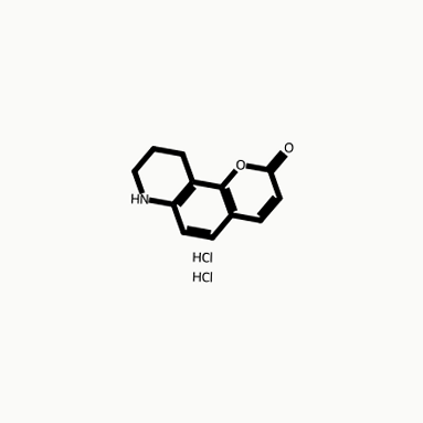 Cl.Cl.O=c1ccc2ccc3c(c2o1)CCCN3